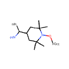 CCCCCCCCON1C(C)(C)CC(C([NH])CCC)CC1(C)C